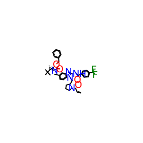 C=CC(=O)N1CCCC1Cn1c(NC(=O)c2ccc(C(F)F)cc2)nc2cc(CN(C(=O)OCc3ccccc3)[C@@H](C)C(C)(C)C)ccc21